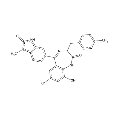 Cc1ccc(CC2N=C(c3ccc4c(c3)[nH]c(=O)n4C)c3cc(Cl)cc(O)c3NC2=O)cc1